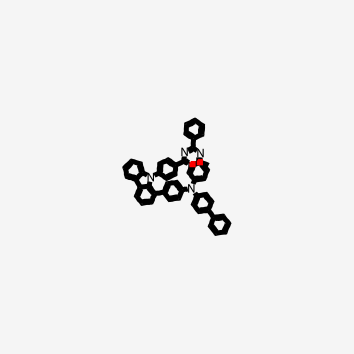 Cc1nc(-c2ccccc2)nc(-c2ccc(-n3c4ccccc4c4cccc(-c5ccc(N(c6ccccc6)c6ccc(-c7ccccc7)cc6)cc5)c43)cc2)n1